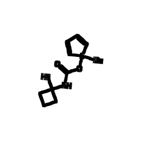 CCC(C)S1(OC(=O)NC2(S)CCC2)C=CC=C1